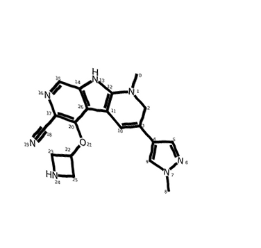 CN1CC(c2cnn(C)c2)=Cc2c1[nH]c1cnc(C#N)c(OC3CNC3)c21